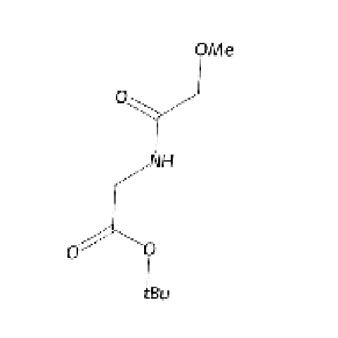 COCC(=O)NCC(=O)OC(C)(C)C